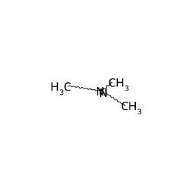 CCCCCCCCCCCCCCCCN1C=CN(CCCCCCCCCCCC)C1CCCCCC